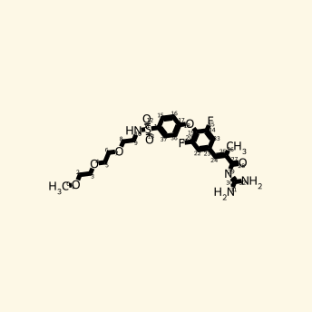 COCCOCCOCCNS(=O)(=O)c1ccc(Oc2c(F)cc(/C=C(\C)C(=O)N=C(N)N)cc2F)cc1